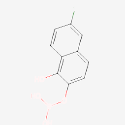 OB(O)Oc1ccc2cc(Cl)ccc2c1O